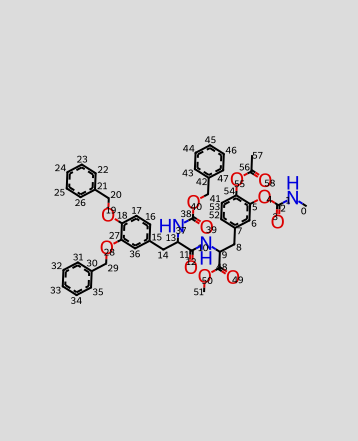 CNC(=O)Oc1cc(CC(NC(=O)C(Cc2ccc(OCc3ccccc3)c(OCc3ccccc3)c2)NC(=O)OCc2ccccc2)C(=O)OC)ccc1OC(C)=O